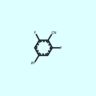 CC(C)c1cc(F)c(C#N)c(F)c1